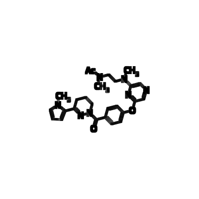 CC(=O)N(C)CCN(C)c1cncc(Oc2ccc(C(=O)N3CCCC(c4cccn4C)=N3)cc2)n1